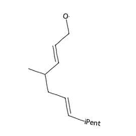 CCCC(C)C=CCC(C)C=CC[O]